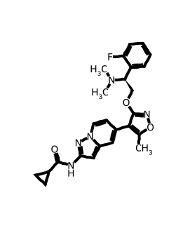 Cc1onc(OC[C@H](c2ccccc2F)N(C)C)c1-c1ccn2nc(NC(=O)C3CC3)cc2c1